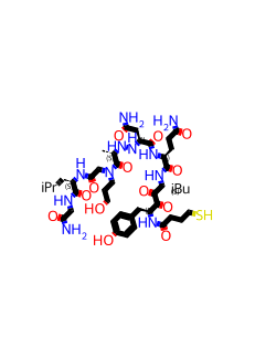 CC[C@H](C)C(NC(=O)[C@H](CCC(N)=O)NC(=O)[C@H](CC(N)=O)NN[C@@H](C)C(=O)N(CCCO)CC(=O)N[C@@H](CC(C)C)C(=O)NCC(N)=O)C(=O)C(=O)[C@H](Cc1ccc(O)cc1)NC(=O)CCCS